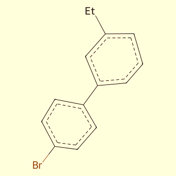 CCc1cccc(-c2ccc(Br)cc2)c1